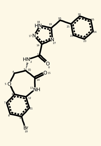 O=C(N[C@H]1COc2ccc(Br)cc2NC1=O)c1n[nH]c(Cc2ccccc2)n1